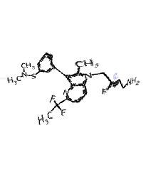 Cc1c(-c2cccc(SN(C)C)c2)c2nc(C(C)(F)F)ccc2n1C/C(F)=C/CN